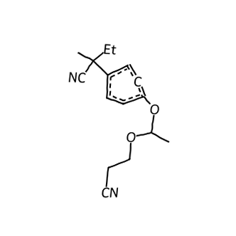 CCC(C)(C#N)c1ccc(OC(C)OCCC#N)cc1